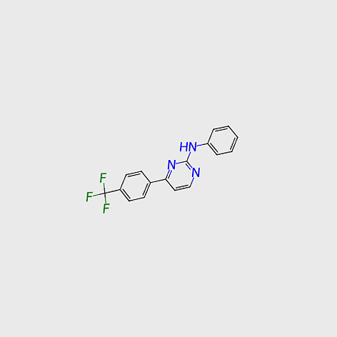 FC(F)(F)c1ccc(-c2ccnc(Nc3ccccc3)n2)cc1